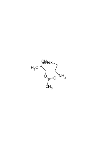 CC(=O)OCC(C)C.CCCCCCCCN